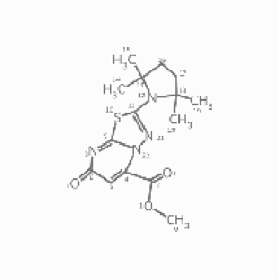 COC(=O)c1cc(=O)nc2sc(N3C(C)(C)CCC3(C)C)nn12